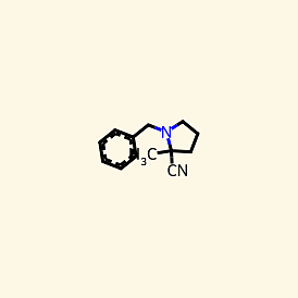 CC1(C#N)CCCN1Cc1ccccc1